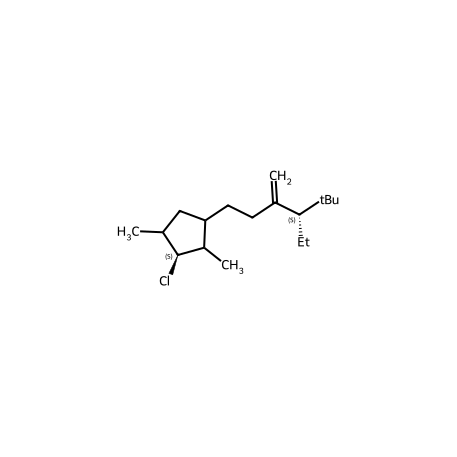 C=C(CCC1CC(C)[C@H](Cl)C1C)[C@@H](CC)C(C)(C)C